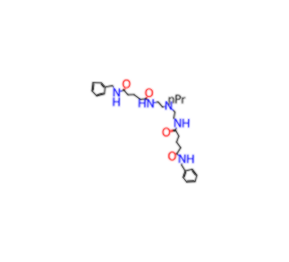 CCCN(CCNC(=O)CCCC(=O)NCc1ccccc1)CCNC(=O)CCCC(=O)NCc1ccccc1